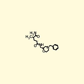 CC(C[CH]C(=O)NC[C@H]1CN(Cc2ccccc2)CCO1)C(N)=O